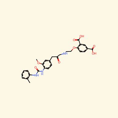 COc1cc(CC(=O)CNCCOc2ccc(C(=O)O)cc2C(=O)O)ccc1NC(=O)Nc1ccccc1C